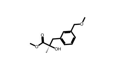 COCc1cccc(C[C@@](C)(O)C(=O)OC)c1